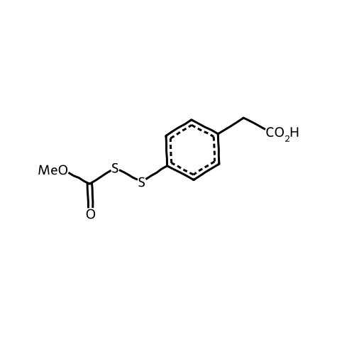 COC(=O)SSc1ccc(CC(=O)O)cc1